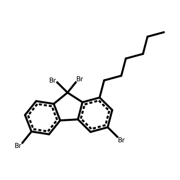 CCCCCCc1cc(Br)cc2c1C(Br)(Br)c1ccc(Br)cc1-2